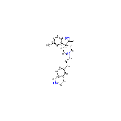 C=C1Nc2ccc(C#N)cc2C12CCN(CCCc1ccc3c(c1)CCNC3)CC2